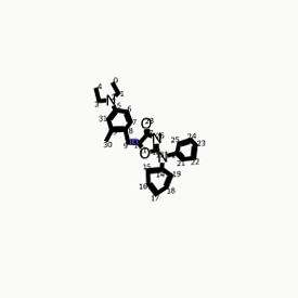 CCN(CC)c1ccc(/C=C2/OC(N(c3ccccc3)c3ccccc3)=NC2=O)c(C)c1